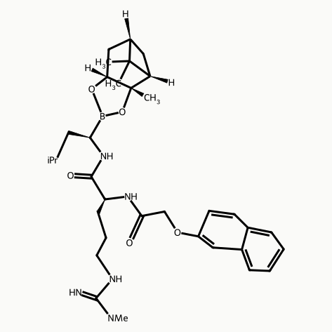 CNC(=N)NCCC[C@H](NC(=O)COc1ccc2ccccc2c1)C(=O)N[C@@H](CC(C)C)B1O[C@@H]2C[C@@H]3C[C@@H](C3(C)C)[C@]2(C)O1